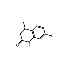 CN1CC(=O)Nc2cc(F)ccc21